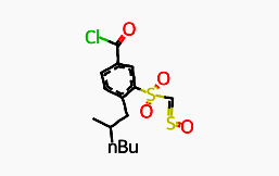 CCCCC(C)Cc1ccc(C(=O)Cl)cc1S(=O)(=O)C=S=O